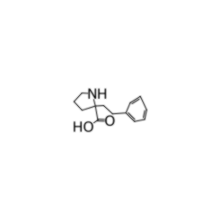 O=C(O)C1(CCc2ccccc2)CCCN1